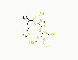 CC(CCC1SC=CS1)C(SCS)SC1SCSC1SC(SCS)C(SCS)SCS